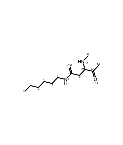 CCCCCCNC(=O)CC(NC)C(C)=O